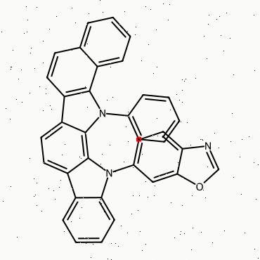 c1ccc(-n2c3c4ccccc4ccc3c3ccc4c5ccccc5n(-c5ccc6ncoc6c5)c4c32)cc1